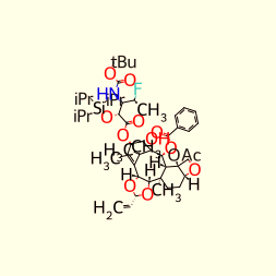 C=C[C@@H]1O[C@@H]2C3=C(C)[C@@H](OC(=O)[C@H](O[Si](C(C)C)(C(C)C)C(C)C)[C@@H](NC(=O)OC(C)(C)C)[C@H](C)F)C[C@@](O)([C@@H](OC(=O)c4ccccc4)[C@H]4[C@@](C)(CC[C@H]5OC[C@]54OC(C)=O)[C@@H]2O1)C3(C)C